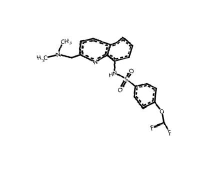 CN(C)Cc1ccc2cccc(NS(=O)(=O)c3ccc(OC(F)F)cc3)c2n1